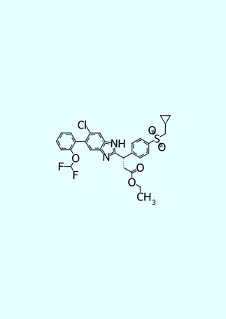 CCOC(=O)C[C@@H](c1ccc(S(=O)(=O)CC2CC2)cc1)c1nc2cc(-c3ccccc3OC(F)F)c(Cl)cc2[nH]1